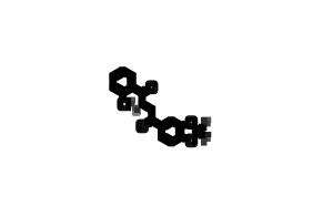 O=C(CCC(=O)c1ccccc1C(F)(F)F)c1ccc2c(c1)OC(F)(F)O2